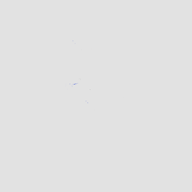 NC(=O)CC[C@H](N)C(=O)NC(c1ccccc1)C1C=CC=CC1